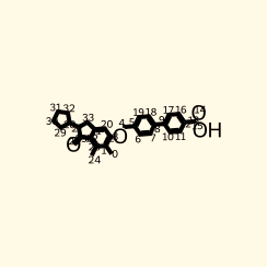 Cc1c(OCc2ccc(-c3ccc(C(=O)O)cc3)cc2)cc2c(c1C)C(=O)C(C1CCCC1)C2